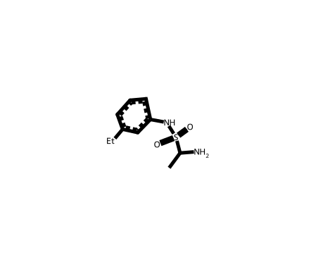 CCc1cccc(NS(=O)(=O)C(C)N)c1